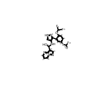 OC(Nc1c[nH]nc1-c1cc(SC(F)F)ccc1OC(F)F)c1cnn2cccnc12